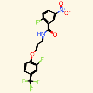 O=C(NCCCOc1ccc(C(F)(F)F)cc1F)c1cc([N+](=O)[O-])ccc1F